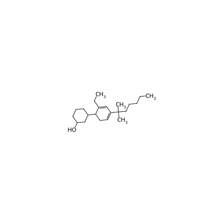 CCCCCC(C)(C)C1=CCC(C2CCCC(O)C2)C(CC)=C1